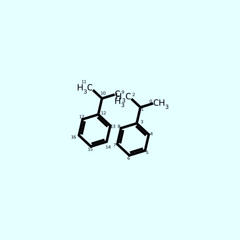 CC(C)c1ccccc1.CC(C)c1ccccc1